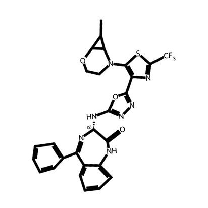 CC1C2OCCN(c3sc(C(F)(F)F)nc3-c3nnc(N[C@H]4N=C(c5ccccc5)c5ccccc5NC4=O)o3)C12